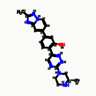 Cc1nc2cc(-c3ccc(-c4cnc(N5CCN[C@@H](C(C)C)C5)nn4)c(O)c3)ccn2n1